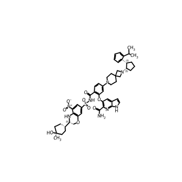 CC(C)c1ccccc1[C@@H]1CCC[C@@H]1N1CC2(CCN(c3ccc(C(=O)NS(=O)(=O)c4cc5c(c([N+](=O)[O-])c4)N[C@@H]([C@H]4CC[C@](C)(O)CC4)CO5)c(Oc4cc5cc[nH]c5nc4C(N)=O)c3)CC2)C1